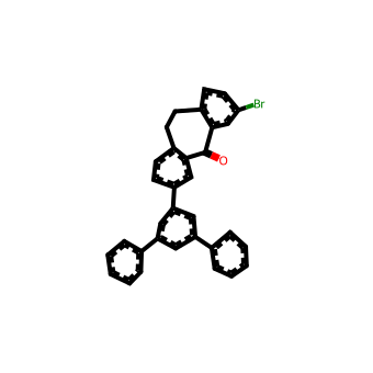 O=C1c2cc(Br)ccc2CCc2ccc(-c3cc(-c4ccccc4)cc(-c4ccccc4)c3)cc21